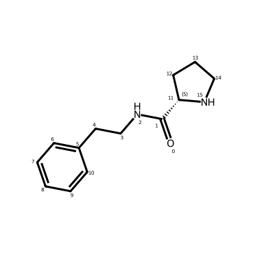 O=C(NCCc1ccccc1)[C@@H]1CCCN1